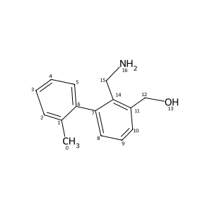 Cc1ccccc1-c1cccc(CO)c1CN